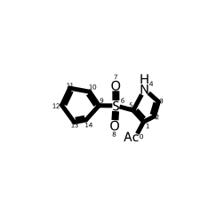 CC(=O)c1cc[nH]c1S(=O)(=O)c1ccccc1